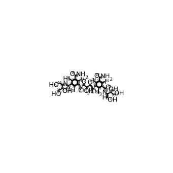 CN(C(=O)C(O)C(=O)N(C)c1c(I)c(C(N)=O)c(I)c(C(=O)NC(CO)C(O)CO)c1I)c1c(I)c(C(N)=O)c(I)c(C(=O)NC(CO)C(O)CO)c1I